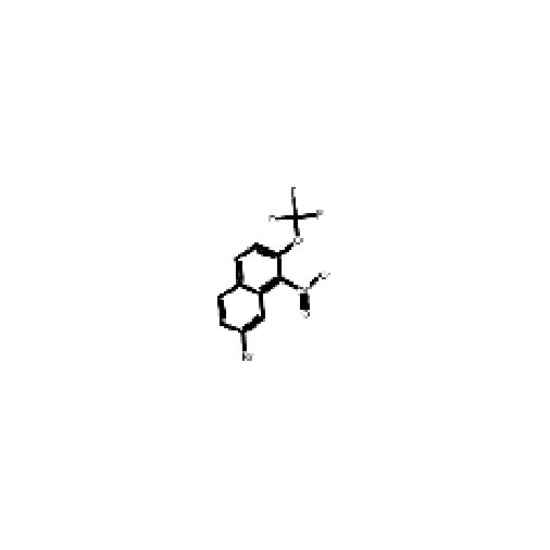 O=[N+]([O-])c1c(OC(F)(F)F)ccc2ccc(Br)cc12